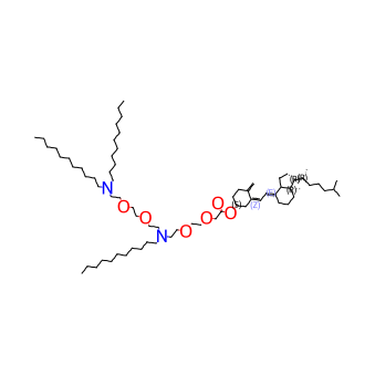 C=C1CC[C@H](OC(=O)COCCOCCN(CCCCCCCCCCC)CCOCCOCCN(CCCCCCCCCCC)CCCCCCCCCCC)C/C1=C/C=C1\CCC[C@@]2(C)C1CC[C@@H]2[C@H](C)CCCC(C)C